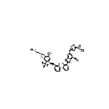 COc1cc(/C=C/c2cccc(-c3cccc(-c4nc5cc(CN6CC[C@@H](C(=O)O)C6)cc(C#N)c5o4)c3C)c2C)c(C(F)(F)F)cc1CNCCO